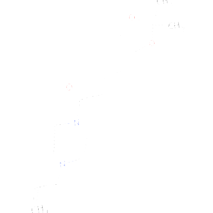 C=CCN1CCN(C(=O)CCCC2COC(C)(C)O2)CC1